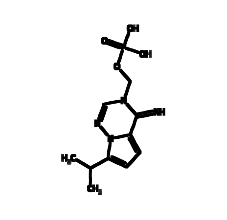 CC(C)c1ccc2c(=N)n(COP(=O)(O)O)cnn12